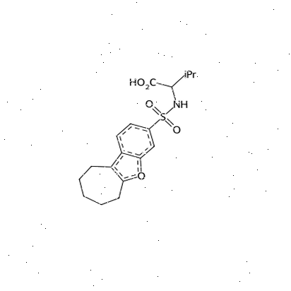 CC(C)C(NS(=O)(=O)c1ccc2c3c(oc2c1)CCCCC3)C(=O)O